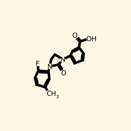 Cc1ccc(F)c(N2CCN(c3cccc(C(=O)O)c3)C2=O)c1